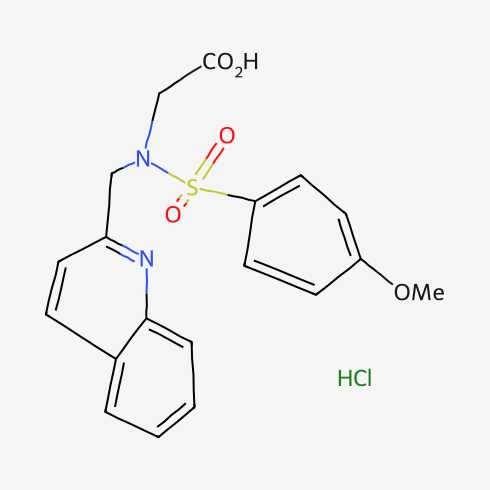 COc1ccc(S(=O)(=O)N(CC(=O)O)Cc2ccc3ccccc3n2)cc1.Cl